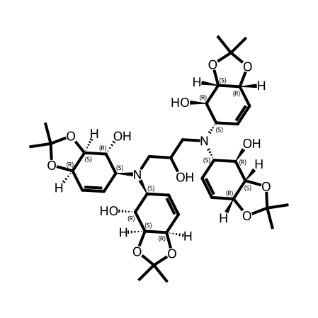 CC1(C)O[C@H]2[C@H](O)[C@@H](N(CC(O)CN([C@H]3C=C[C@H]4OC(C)(C)O[C@H]4[C@@H]3O)[C@H]3C=C[C@H]4OC(C)(C)O[C@H]4[C@@H]3O)[C@H]3C=C[C@H]4OC(C)(C)O[C@H]4[C@@H]3O)C=C[C@H]2O1